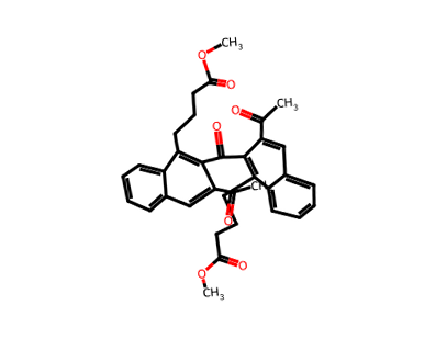 COC(=O)CCCc1c(C(=O)c2c(C(C)=O)cc3ccccc3c2CCCC(=O)OC)c(C(C)=O)cc2ccccc12